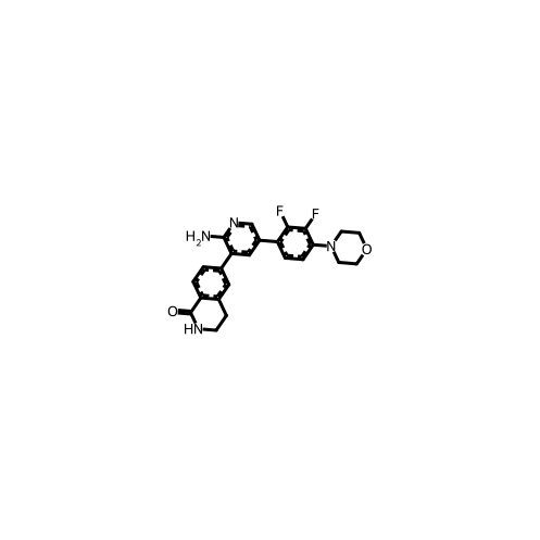 Nc1ncc(-c2ccc(N3CCOCC3)c(F)c2F)cc1-c1ccc2c(c1)CCNC2=O